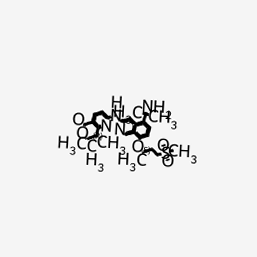 C[C@@H]1c2nc(Nc3cc4c(C(C)(C)N)ccc(O[C@@H](C)CCS(C)(=O)=O)c4cn3)ccc2C(=O)OC1(C)C